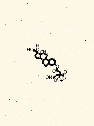 C#C[C@]1(O)CCC2C3CCc4cc(OC(=O)CC5(CC(=O)N=O)OCOC5=O)ccc4C3CC[C@@]21C